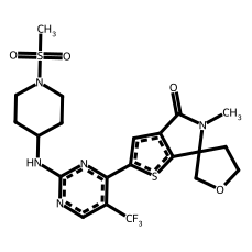 CN1C(=O)c2cc(-c3nc(NC4CCN(S(C)(=O)=O)CC4)ncc3C(F)(F)F)sc2C12CCOC2